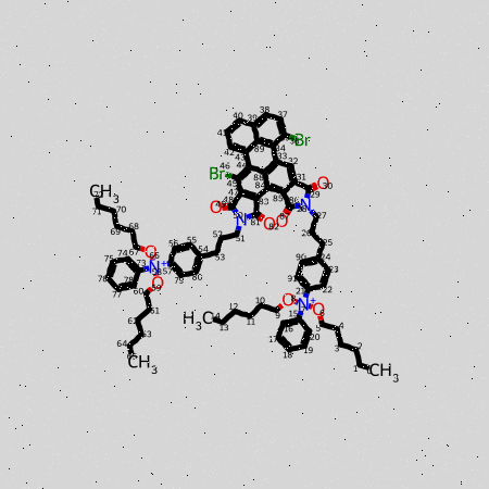 CCCCCCO[N+](OCCCCCC)(c1ccccc1)c1ccc(CCCn2c(=O)c3cc4c5c(Br)ccc6cccc(c7c(Br)c8c(=O)n(CCCc9ccc([N+](OCCCCCC)(OCCCCCC)c%10ccccc%10)cc9)c(=O)c8c(c3c2=O)c47)c65)cc1